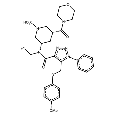 COc1ccc(OCc2c(C(=O)N(CC(C)C)[C@H]3C[C@@H](C(=O)N4CCOCC4)CN(C(=O)O)C3)nnn2-c2ccccc2)cc1